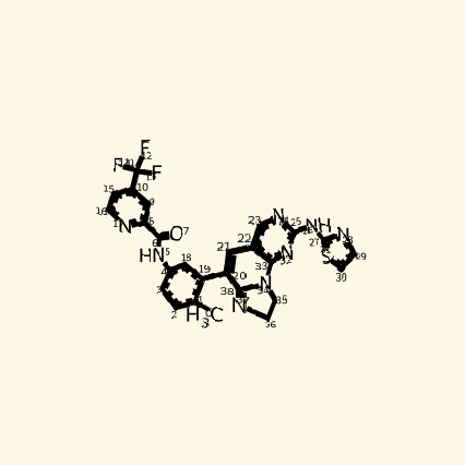 Cc1ccc(NC(=O)c2cc(C(F)(F)F)ccn2)cc1C1=Cc2cnc(Nc3nccs3)nc2N2CCN=C12